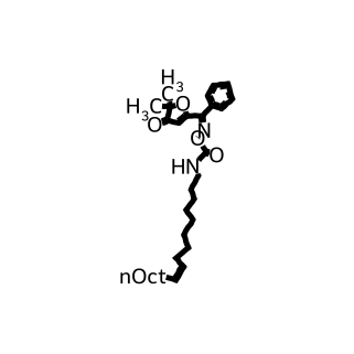 CCCCCCCC/C=C\CCCCCCCCNC(=O)ON=C(C1=CC(=O)C(C)(C)O1)c1ccccc1